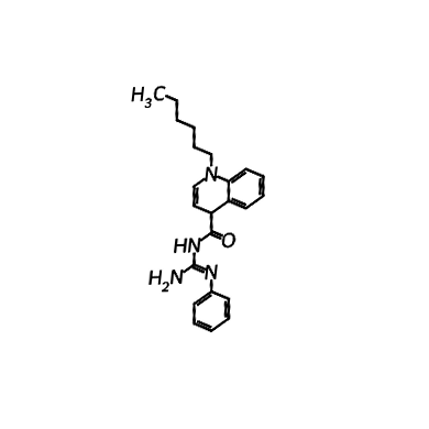 CCCCCCN1C=CC(C(=O)NC(N)=Nc2ccccc2)c2ccccc21